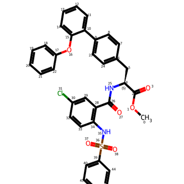 COC(=O)[C@H](Cc1ccc(-c2ccccc2Oc2ccccc2)cc1)NC(=O)c1cc(Cl)ccc1NS(=O)(=O)c1ccccc1